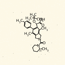 Cc1ccc(-c2c(C)c3c(c(C)c2C(OC(C)(C)C)C(=O)O)CN(C(=O)N2CCCC[C@@H]2C)C3)cc1